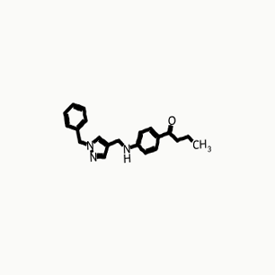 CCCC(=O)c1ccc(NCc2cnn(Cc3ccccc3)c2)cc1